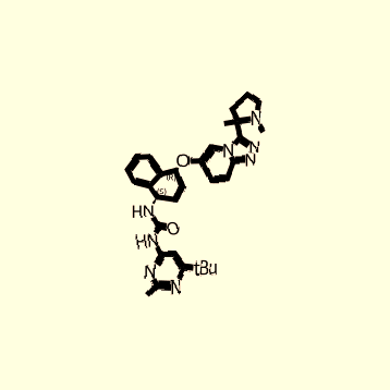 Cc1nc(NC(=O)N[C@H]2CC[C@@H](Oc3ccc4nnc(C5(C)CCCN5C)n4c3)c3ccccc32)cc(C(C)(C)C)n1